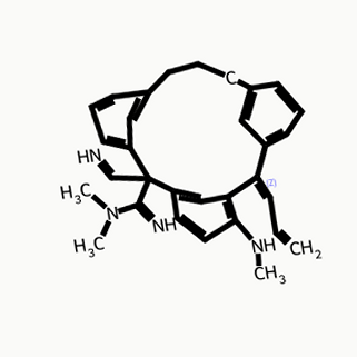 C=C/C=C1/c2cccc(c2)CCCc2cccc(c2)C(C=N)(C(=N)N(C)C)c2ccc(NC)c1c2